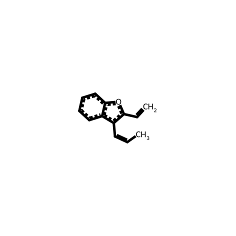 C=Cc1oc2ccccc2c1/C=C\C